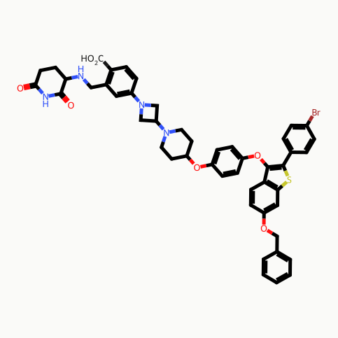 O=C1CCC(NCc2cc(N3CC(N4CCC(Oc5ccc(Oc6c(-c7ccc(Br)cc7)sc7cc(OCc8ccccc8)ccc67)cc5)CC4)C3)ccc2C(=O)O)C(=O)N1